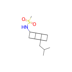 CC(C)CC12C3C4C1C1C2C3C41NS(C)(=O)=O